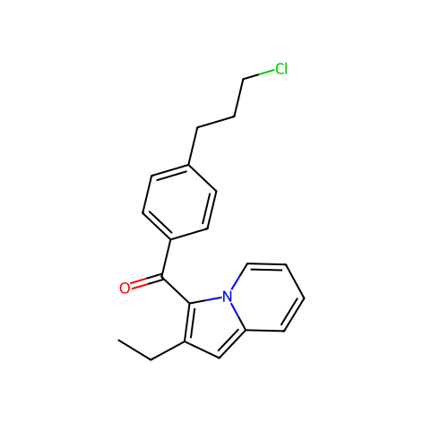 CCc1cc2ccccn2c1C(=O)c1ccc(CCCCl)cc1